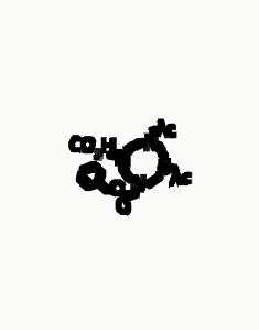 CC(=O)CN1CCN(CC(C)=O)CCN(CC(=O)OCc2ccccc2)CCN(CC(=O)O)CC1